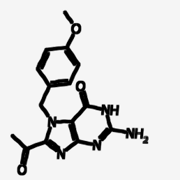 COc1ccc(Cn2c(C(C)=O)nc3nc(N)[nH]c(=O)c32)cc1